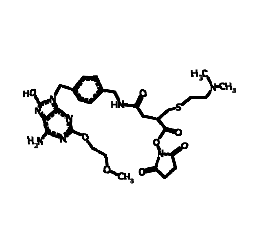 COCCOc1nc(N)c2nc(O)n(Cc3ccc(CNC(=O)CC(CSCCN(C)C)C(=O)ON4C(=O)CCC4=O)cc3)c2n1